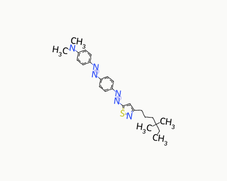 CCC(C)(C)CCCc1cc(/N=N/c2ccc(/N=N/c3ccc(N(C)C)cc3)cc2)sn1